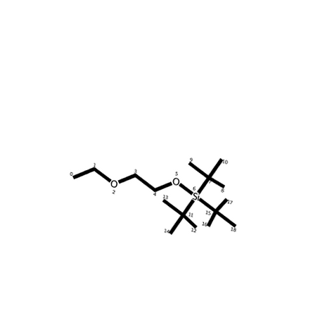 CCOCCO[Si](C(C)(C)C)(C(C)(C)C)C(C)(C)C